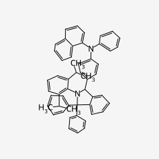 CC(C)c1cccc(C(C)C)c1N1C(c2ccc(N(c3ccccc3)c3cccc4ccccc34)cc2)c2ccccc2C1(c1ccccc1)c1ccccc1